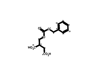 O=C(O)CC(COC(=O)OCc1ccccc1)C(=O)O